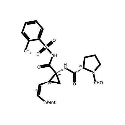 CCCCC/C=C\[C@@H]1C[C@]1(NC(=O)[C@@H]1CCCN1C=O)C(=O)NS(=O)(=O)c1ccccc1C